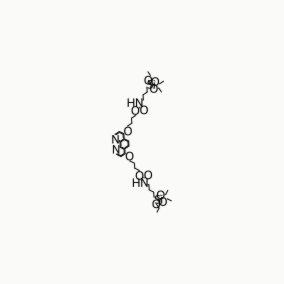 CCO[Si](CCCCNC(=O)OCCCCOc1ccnc2c1ccc1c(OCCCCOC(=O)NCCCC[Si](OCC)(OCC)OCC)ccnc12)(OCC)OCC